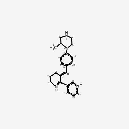 CC1CNCCN1c1ccc(C=C2CCCN=C2c2cccnc2)cc1